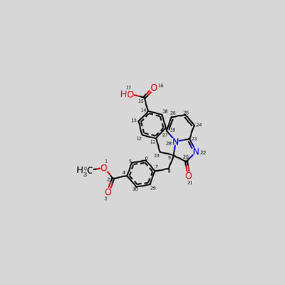 COC(=O)c1ccc(CC2(Cc3ccc(C(=O)O)cc3)C(=O)N=C3C=CC=CN32)cc1